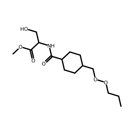 CCCOOCC1CCC(C(=O)NC(CO)C(=O)OC)CC1